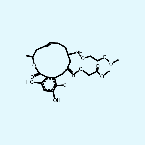 COOCCONC1CC/C=C/CC(C)OC(=O)c2c(O)cc(O)c(Cl)c2C/C(=N/OCC(=O)OC)C1